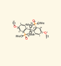 CCOc1ccc(C(c2ccc(OCC)cc2P(=O)(OC)OC)(C(F)(F)F)C(F)(F)F)c(P(=O)(OC)OC)c1